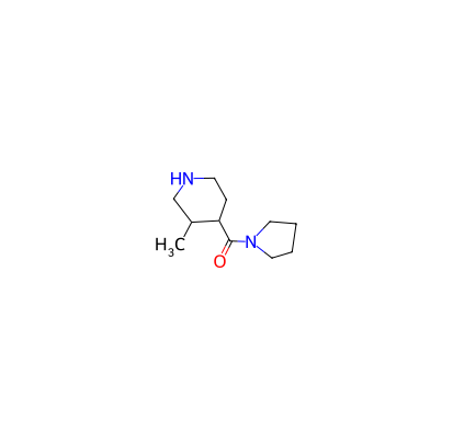 CC1CNCCC1C(=O)N1CCCC1